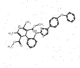 COC(=O)C1=C(C)NC(C)=C(C(=O)OC)C1c1ccccc1Nc1nc(-c2ccc(Oc3ccccc3)cc2)cs1